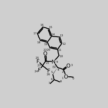 COC(=O)[C@H](CC(C)C)N(Cc1ccc2ccccc2c1)C(=O)C(F)(F)F